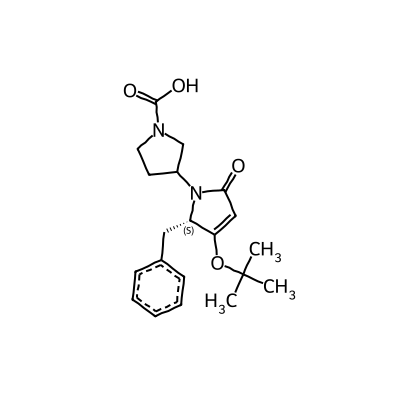 CC(C)(C)OC1=CC(=O)N(C2CCN(C(=O)O)C2)[C@H]1Cc1ccccc1